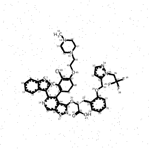 CC1=C(c2c(-c3csc4ccccc34)ncc3snc(O[C@H](Cc4ccccc4OCc4ccnn4CC(F)(F)F)C(=O)O)c23)CCC(OCCN2CCN(C)CC2)=C1Cl